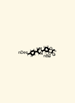 CCCCCCCCCCCc1ccc(-c2cnc(-c3ccc(OC(C)C(=O)OCCCC)cc3)nc2)cc1